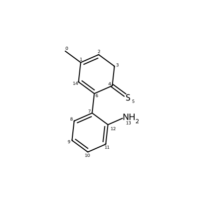 CC1=CCC(=S)C(c2ccccc2N)=C1